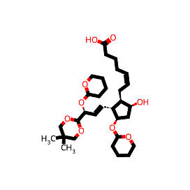 CC1(C)COC([C@@H](/C=C/[C@@H]2[C@@H](C/C=C\CCCC(=O)O)[C@@H](O)C[C@H]2OC2CCCCO2)OC2CCCCO2)OC1